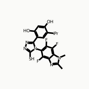 Cc1nc2c(F)c(-n3c(S)nnc3-c3cc(C(C)C)c(O)cc3O)c(F)c(F)c2n1C